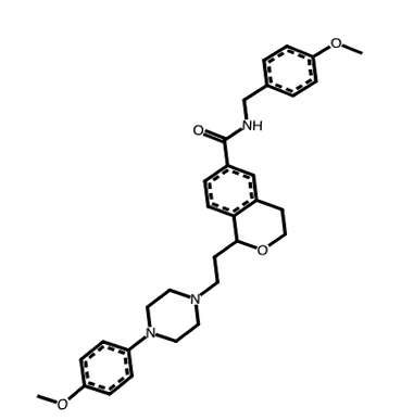 COc1ccc(CNC(=O)c2ccc3c(c2)CCOC3CCN2CCN(c3ccc(OC)cc3)CC2)cc1